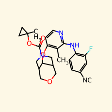 [C-]#[N+]c1ccc(Nc2nccc(OC3C4COCC3CN(C(=O)OC3(C)CC3)C4)c2C)c(F)c1